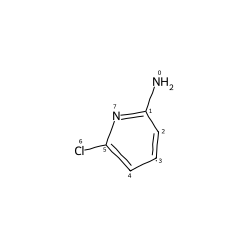 Nc1c[c]cc(Cl)n1